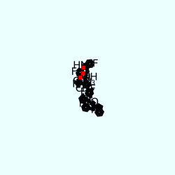 Cc1noc(C)c1-c1cc(-c2c(F)cc(C[C@H](NC(=O)Cn3ccc4ccccc43)c3ncccc3-c3cccc(C#N)c3)cc2F)cnc1[C@H](Cc1cc(F)cc(F)c1)NC(=O)Cc1c[nH]c2ccc(F)cc12